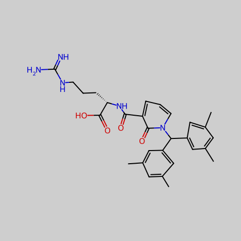 Cc1cc(C)cc(C(c2cc(C)cc(C)c2)n2cccc(C(=O)N[C@@H](CCCNC(=N)N)C(=O)O)c2=O)c1